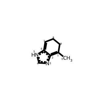 CC1=c2nc[nH]c2=CCC1